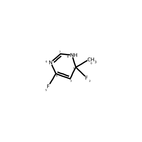 CC1(F)C=C(F)N=CN1